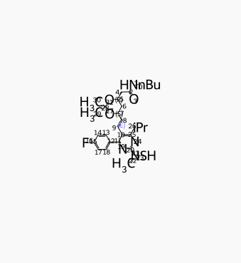 CCCCNC(=O)C[C@H]1C[C@@H](/C=C/c2c(-c3ccc(F)cc3)nc(N(C)S)nc2C(C)C)OC(C)(C)O1